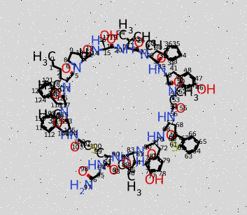 CCCC[C@H]1C(=O)N2CCC[C@@H]2C(=O)N[C@@H](CO)C(=O)N[C@@H](C(C)C)C(=O)N(C)[C@@H](Cc2ccccc2)C(=O)N[C@@H](Cc2ccc(O)cc2)C(=O)N(C)CC(=O)N[C@@H](Cc2csc3ccccc23)C(=O)N[C@@H](Cc2ccc(O)cc2)C(=O)N[C@@H](CC(C)C)C(=O)N[C@H](C(=O)NCC(N)=O)CSCC(=O)N[C@@H](Cc2ccccc2)C(=O)N(C)[C@@H](Cc2ccccc2)C(=O)N1C